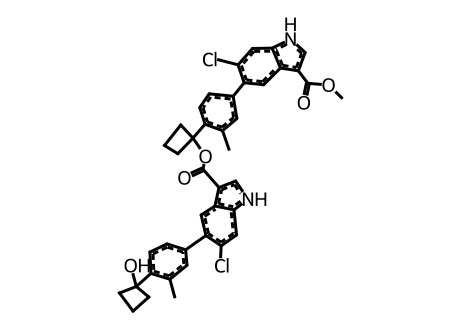 COC(=O)c1c[nH]c2cc(Cl)c(-c3ccc(C4(OC(=O)c5c[nH]c6cc(Cl)c(-c7ccc(C8(O)CCC8)c(C)c7)cc56)CCC4)c(C)c3)cc12